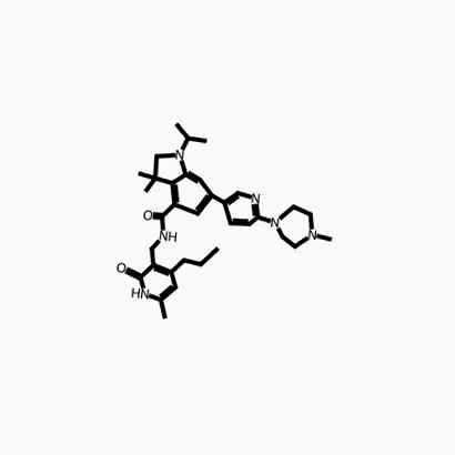 CCCc1cc(C)[nH]c(=O)c1CNC(=O)c1cc(-c2ccc(N3CCN(C)CC3)nc2)cc2c1C(C)(C)CN2C(C)C